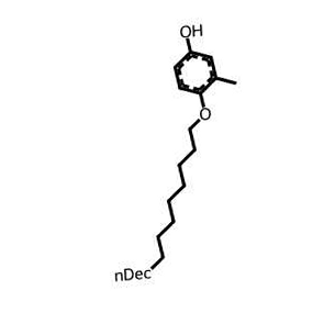 CCCCCCCCCCCCCCCCCCOc1ccc(O)cc1C